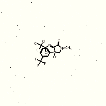 CN1C[N+]([O-])(c2cccc(C(F)(F)F)c2)/C(=N\C(Cl)C(Cl)(Cl)Cl)C1=O